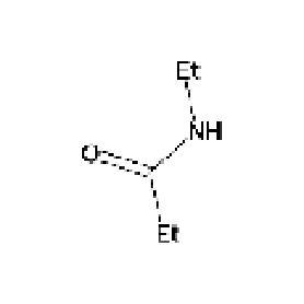 C[CH]NC(=O)CC